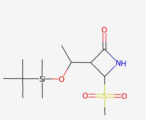 CC(O[Si](C)(C)C(C)(C)C)C1C(=O)NC1S(C)(=O)=O